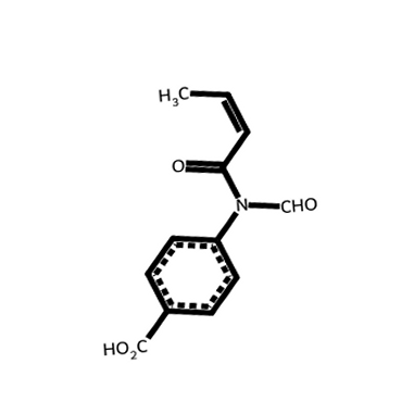 C/C=C\C(=O)N(C=O)c1ccc(C(=O)O)cc1